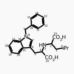 CC(C)CC(NC(Cc1cn(Cc2ccccc2)c2ccccc12)C(=O)O)C(=O)O